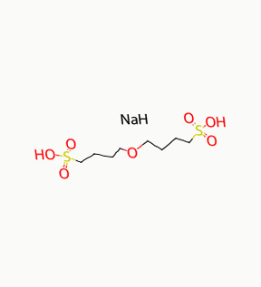 O=S(=O)(O)CCCCOCCCCS(=O)(=O)O.[NaH]